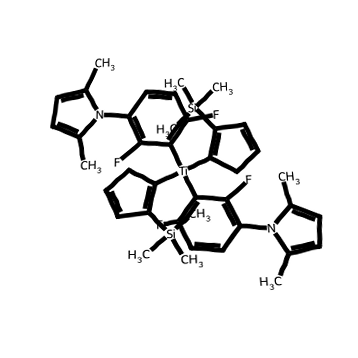 Cc1ccc(C)n1-c1ccc(F)[c]([Ti]([C]2=C([Si](C)(C)C)C=CC2)([C]2=C([Si](C)(C)C)C=CC2)[c]2c(F)ccc(-n3c(C)ccc3C)c2F)c1F